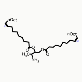 CCCCCCCC/C=C\CCCCCCCC(=O)OCC(OC(=O)CCCCCCC/C=C\CCCCCCCC)C(C)N